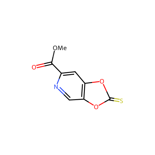 COC(=O)c1cc2oc(=S)oc2cn1